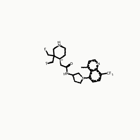 Cc1ccnc2c(C(F)(F)F)ccc(N3CCC(NC(=O)C[C@@H]4CCNCC4(CF)CF)C3)c12